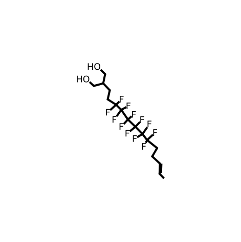 C/C=C/CCC(F)(F)C(F)(F)C(F)(F)C(F)(F)C(F)(F)C(F)(F)CCC(CO)CO